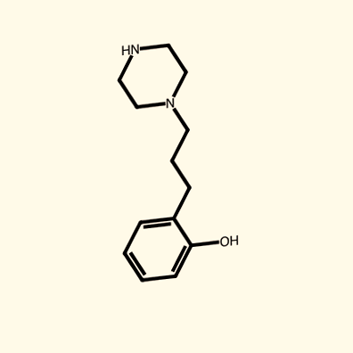 Oc1ccccc1CCCN1CCNCC1